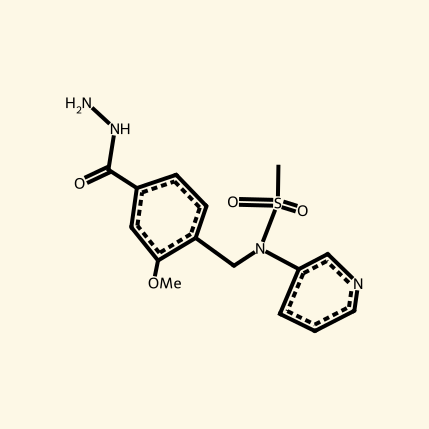 COc1cc(C(=O)NN)ccc1CN(c1cccnc1)S(C)(=O)=O